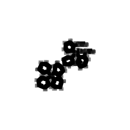 CC[P+](c1ccccc1OC)(c1ccccc1OC)c1ccccc1OC.c1ccc([B-](c2ccccc2)(c2ccccc2)c2ccccc2)cc1